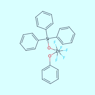 [F][Zn]([F])([F])([F])([F])([O]c1ccccc1)[O][Si](c1ccccc1)(c1ccccc1)c1ccccc1